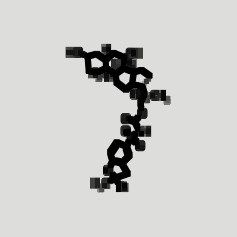 CCC1(C)Cc2cc(S(=O)(=O)NC(=O)OC[C@@H](C)[C@H]3CC[C@H]4[C@@H]5[C@H](O)C[C@@H]6C[C@H](O)CC[C@]6(C)[C@H]5CC[C@]34C)ccc2O1